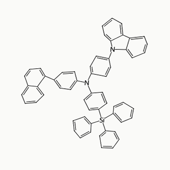 c1ccc([Si](c2ccccc2)(c2ccccc2)c2ccc(N(c3ccc(-c4cccc5ccccc45)cc3)c3ccc(-n4c5ccccc5c5ccccc54)cc3)cc2)cc1